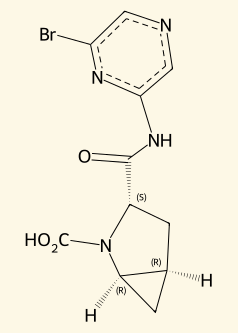 O=C(Nc1cncc(Br)n1)[C@@H]1C[C@H]2C[C@H]2N1C(=O)O